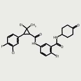 CCc1ccc(NC(=O)C2C(c3ccc(F)c(Cl)c3)C2(C)CC)cc1C(=O)NC1CCC(=O)CC1